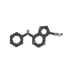 O=C(O)c1csc2c(Nc3ccccc3)ncnc12